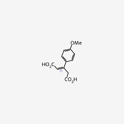 COc1ccc(/C(=C\C(=O)O)CC(=O)O)cc1